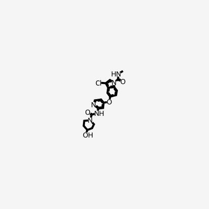 CNC(=O)n1cc(Cl)c2cc(Oc3ccnc(NC(=O)N4CCC(O)CC4)c3)ccc21